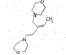 CC=C(CCN1CCOCC1)CN1CCOCC1